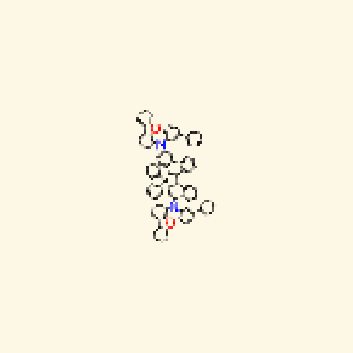 c1ccc(-c2cccc(N(c3ccc4c5c(c6ccccc6c4c3)-c3c(cc(N(c4cccc(-c6ccccc6)c4)c4cccc6c4oc4ccccc46)c4ccccc34)C5(c3ccccc3)c3ccccc3)c3cccc4c3oc3ccccc34)c2)cc1